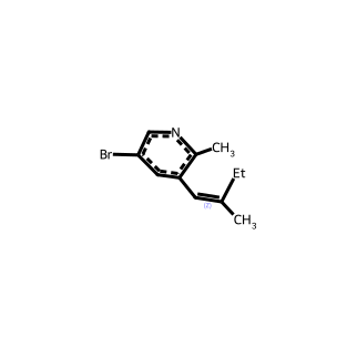 CC/C(C)=C\c1cc(Br)cnc1C